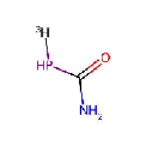 [3H]PC(N)=O